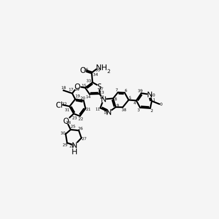 Cc1ccc(C2C=Cc3c(ncn3-c3cc(OC(C)c4cccc(OC5CCNCC5)c4Cl)c(C(N)=O)s3)C2)cn1